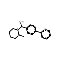 CN1CCCC[C@H]1C(O)c1ccc(-c2ccccn2)cc1